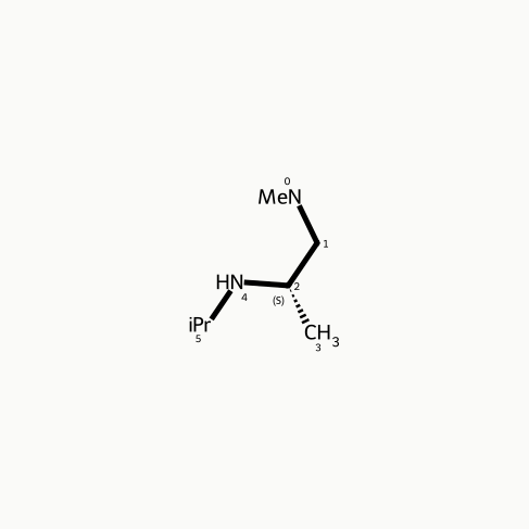 CNC[C@H](C)NC(C)C